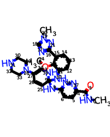 CNC(=O)c1ccc(NC2(Nc3cccc(-c4ncn(C)n4)c3OC)C=CC(N3CCNCC3)=CN2)nn1